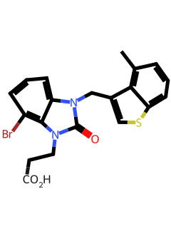 Cc1cccc2scc(Cn3c(=O)n(CCC(=O)O)c4c(Br)cccc43)c12